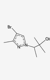 Cc1nn(C(C)C(C)(C)O)cc1Br